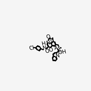 CN1C(=O)Cn2cc(C(=O)NCc3ccc(Cl)cc3)c(=O)c3cc(C[As](C)C[C@H](O)c4ccc5ccccc5n4)cc1c32